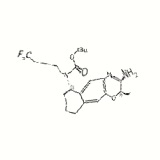 C[C@H]1Oc2cc3c(cc2N=C1N)[C@@H](N(CCCC(F)(F)F)C(=O)OC(C)(C)C)CCC3